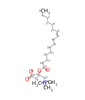 CCCCCC/C=C\CCCCCCCC(=O)OC(CC(=O)[O-])C[N+](C)(C)C